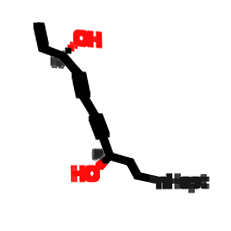 C=C[C@H](O)C#CC#C[C@H](O)CCCCCCCCC